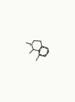 CC1c2c(F)cccc2CCN1C